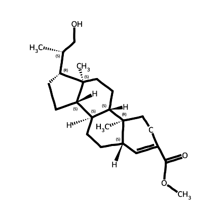 COC(=O)C1=C[C@@H]2CC[C@@H]3[C@H](CC[C@]4(C)[C@@H]([C@H](C)CO)CC[C@@H]34)[C@@]2(C)CC1